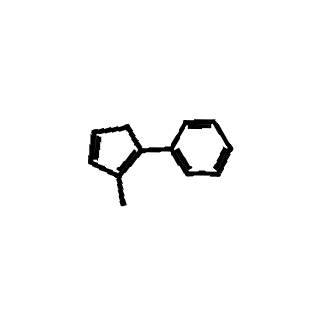 CC1=C(c2ccccc2)CC=C1